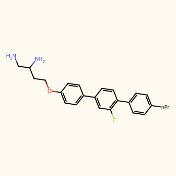 CCCc1ccc(-c2ccc(-c3ccc(OCCC(N)CN)cc3)cc2F)cc1